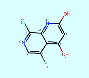 Oc1cc(O)c2c(F)cnc(Cl)c2n1